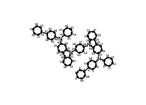 c1ccc(-c2ccc(N(c3ccccc3)c3ccc4c5ccccc5n(-c5ccc(-n6c7ccccc7c7ccc(N(c8ccccc8)c8ccc(-c9ccccc9)cc8)cc76)cc5)c4c3)cc2)cc1